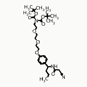 CCCC(NC(=O)CC#N)c1ccc(OCCOCCOCCN(C(=O)OC(C)(C)C)C(=O)OC(C)(C)C)cc1